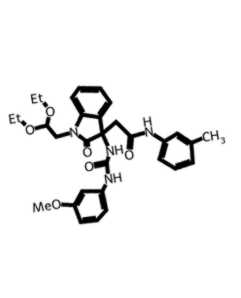 CCOC(CN1C(=O)C(CC(=O)Nc2cccc(C)c2)(NC(=O)Nc2cccc(OC)c2)c2ccccc21)OCC